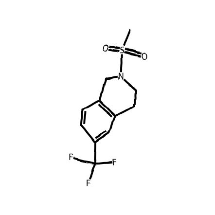 CS(=O)(=O)N1CCc2cc(C(F)(F)F)ccc2C1